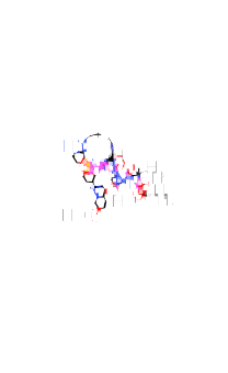 COc1ccc2c(O[C@@H]3C[C@@H](C(=O)N[C@]45C[C@H]4/C=C\CCCCCNc4ccccc4S(=O)(=O)NC5=O)N(C(=O)[C@@H](NC(=O)OC(C)(C)C)C(C)C)C3)cc(-c3ccccc3)nc2c1